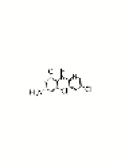 Nc1cc(Cl)c(Nc2ccc(Cl)cn2)c(Cl)c1